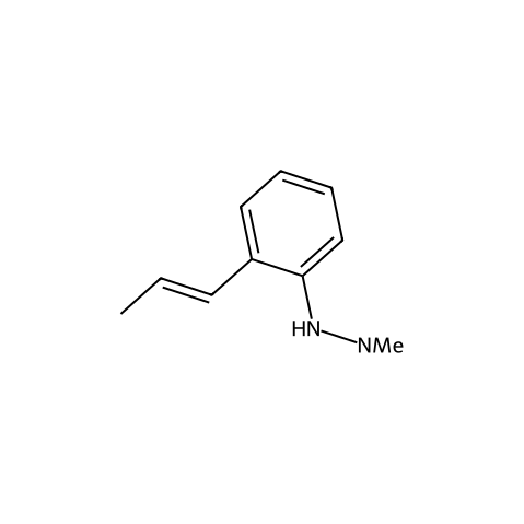 C/C=C/c1ccccc1NNC